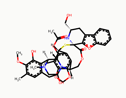 COc1c(C)cc2c(c1O)[C@H]1[C@@H]3[C@@H]4S[C@]5(N[C@H](CO)Cc6c5oc5ccccc65)C(=O)OC[C@@H](c5c6c(c(C)c(OC(C)=O)c54)OCO6)N3C(O)(C2)CN1C